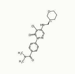 CN(C)C(=O)c1ccc(-n2ncc(NC[C@@H]3CCCOC3)c(Cl)c2=O)cc1